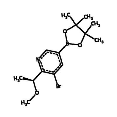 CO[C@@H](C)c1ncc(B2OC(C)(C)C(C)(C)O2)cc1Br